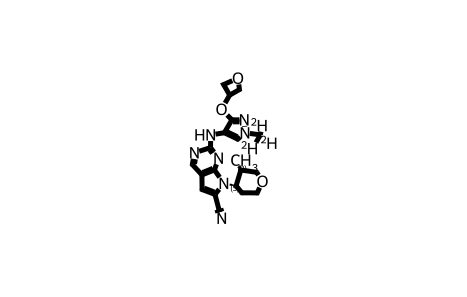 [2H]C([2H])([2H])n1cc(Nc2ncc3cc(C#N)n([C@H]4CCOC[C@@H]4C)c3n2)c(OC2COC2)n1